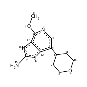 COc1ncc(C2CCOCC2)c2sc(N)nc12